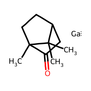 CC12CCC(CC1=O)C2(C)C.[Ga]